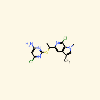 CC(Sc1nc(N)cc(Cl)n1)c1cc2c(C(F)(F)F)cn(C)c2c(Cl)n1